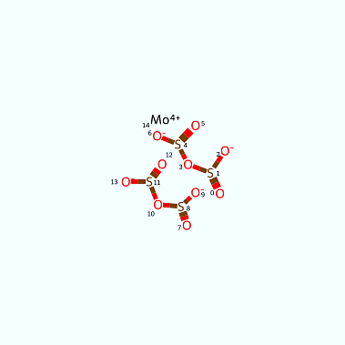 O=S([O-])OS(=O)[O-].O=S([O-])OS(=O)[O-].[Mo+4]